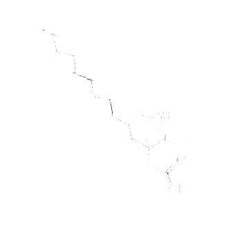 CCCCCCCCCC(CO)CC(CO)CC(=O)O